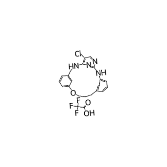 Clc1cnc2nc1NCc1cccc(c1)OCCCc1cccc(c1)N2.O=C(O)C(F)(F)F